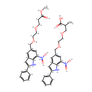 CC(COCCOCc1cc([N+](=O)[O-])c2[nH]c(-c3ccccc3)cc2c1)C(=O)O.COC(=O)CCOCCOCc1cc([N+](=O)[O-])c2[nH]c(-c3ccccc3)cc2c1